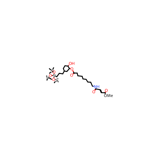 COC(=O)C=CC(=O)NCCCCCCCCC(=O)OC1CC(CCC[Si](O[Si](C)(C)C)(O[Si](C)(C)C)O[Si](C)(C)C)CCC1O